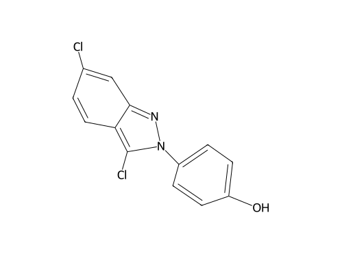 Oc1ccc(-n2nc3cc(Cl)ccc3c2Cl)cc1